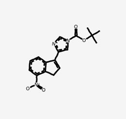 CC(C)(C)OC(=O)n1cnc(C2=CCc3c2cccc3[N+](=O)[O-])c1